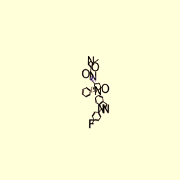 Cc1ncc(C(=O)/N=C/C2CC(=O)N(c3ccc4c(cnn4-c4ccc(F)cc4)c3)[C@@H]2c2ccccc2)o1